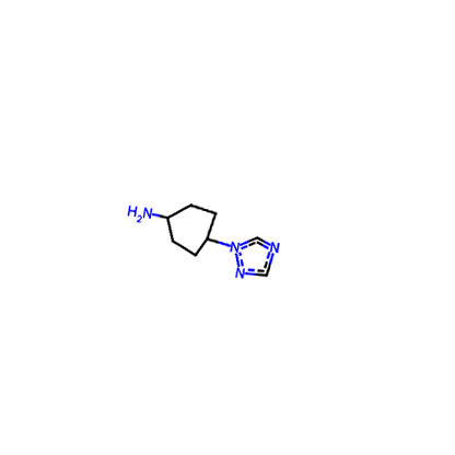 NC1CCC(n2cncn2)CC1